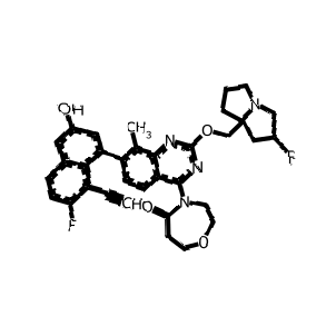 C#Cc1c(F)ccc2cc(O)cc(-c3ccc4c(N5CCOCCC5=O)nc(OCC56CCCN5CC(F)C6)nc4c3C)c12